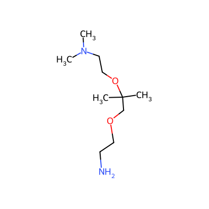 CN(C)CCOC(C)(C)COCCN